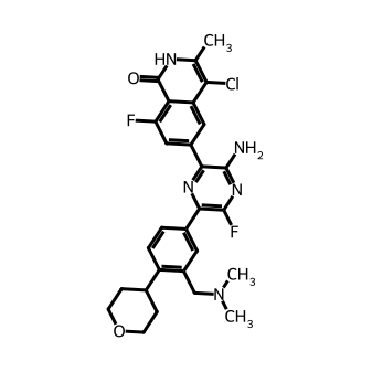 Cc1[nH]c(=O)c2c(F)cc(-c3nc(-c4ccc(C5CCOCC5)c(CN(C)C)c4)c(F)nc3N)cc2c1Cl